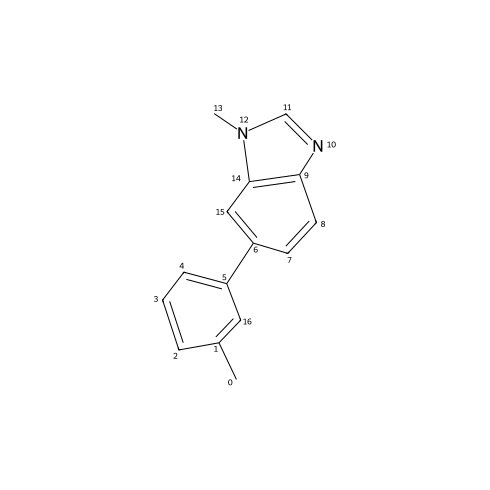 Cc1cccc(-c2ccc3ncn(C)c3c2)c1